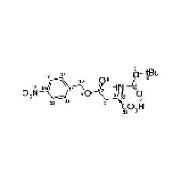 CC(C)(C)OC(=O)N[C@H](CC(=O)OCc1ccc([N+](=O)[O-])cc1)C(=O)O